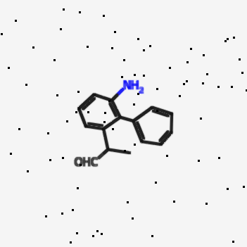 CC(C=O)c1cccc(N)c1-c1ccccc1